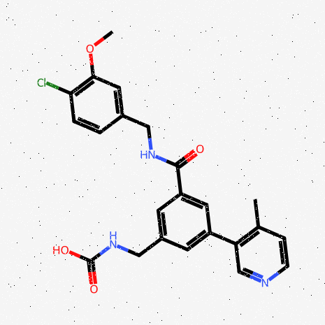 COc1cc(CNC(=O)c2cc(CNC(=O)O)cc(-c3cnccc3C)c2)ccc1Cl